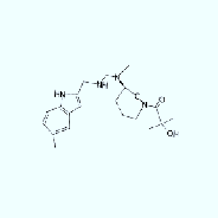 Cc1ccc2[nH]c(CNCN(C)[C@@H]3CCCN(C(=O)C(C)(C)O)C3)cc2c1